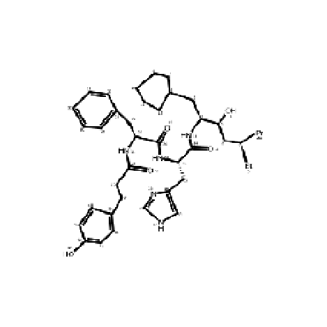 CC[C@@H](C[C@H](O)[C@H](CC1CCCCC1)NC(=O)[C@H](Cc1c[nH]cn1)NC(=O)[C@H](Cc1ccccc1)NC(=O)CCc1ccc(O)cc1)C(C)C